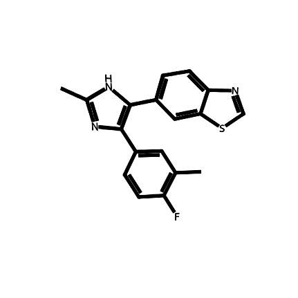 Cc1nc(-c2ccc(F)c(C)c2)c(-c2ccc3ncsc3c2)[nH]1